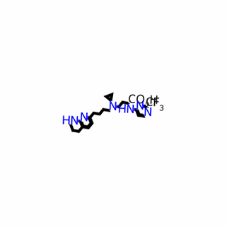 O=C(O)C(CCN(CCCCc1ccc2c(n1)NCCC2)C1CC1)Nc1ccnc(C(F)(F)F)n1